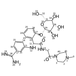 CN1CCN(C(=O)CNC(=O)[C@H](Nc2cccc(C(=N)N)c2)c2ccccc2O[C@@H]2O[C@H](CO)[C@@H](O)[C@H](O)[C@H]2O)CC1